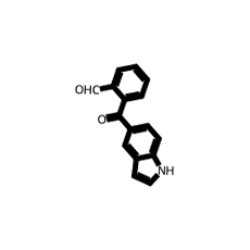 O=Cc1ccccc1C(=O)c1ccc2[nH]ccc2c1